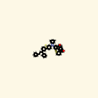 c1ccc(CCC(c2ccccc2)c2ccc3sc4cc(N(c5ccccc5)c5ccc6c(c5)Sc5ccccc5C65c6ccccc6-c6ccccc65)ccc4c3c2)cc1